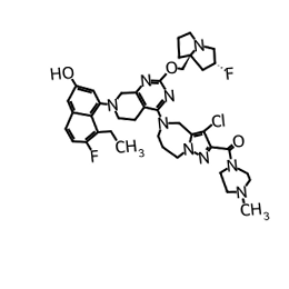 CCc1c(F)ccc2cc(O)cc(N3CCc4c(nc(OC[C@@]56CCCN5C[C@H](F)C6)nc4N4CCCn5nc(C(=O)N6CCN(C)CC6)c(Cl)c5C4)C3)c12